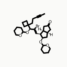 CC#CCCC1([C@H](OC2CCCCO2)C(Br)=C[C@H]2[C@H]3CC(=O)C[C@H]3C[C@H]2OC2CCCCO2)CCC1